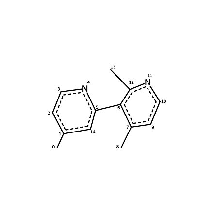 Cc1ccnc(-c2c(C)ccnc2C)c1